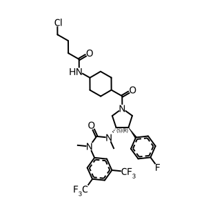 CN(C(=O)N(C)[C@@H]1CN(C(=O)C2CCC(NC(=O)CCCCl)CC2)C[C@H]1c1ccc(F)cc1)c1cc(C(F)(F)F)cc(C(F)(F)F)c1